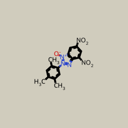 Cc1cc(C)c(-n2nc3c([N+](=O)[O-])cc([N+](=O)[O-])cc3[n+]2[O-])cc1C